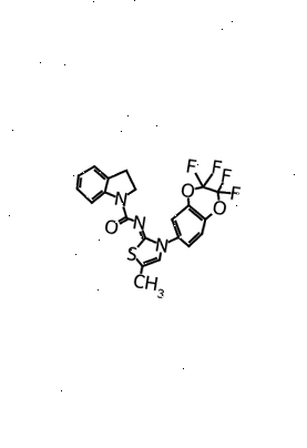 Cc1cn(-c2ccc3c(c2)OC(F)(F)C(F)(F)O3)/c(=N/C(=O)N2CCc3ccccc32)s1